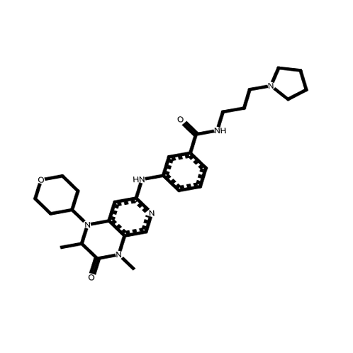 CC1C(=O)N(C)c2cnc(Nc3cccc(C(=O)NCCCN4CCCC4)c3)cc2N1C1CCOCC1